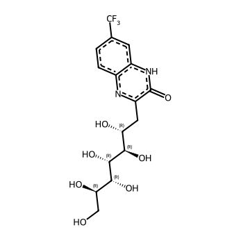 O=c1[nH]c2cc(C(F)(F)F)ccc2nc1C[C@@H](O)[C@@H](O)[C@@H](O)[C@H](O)[C@H](O)CO